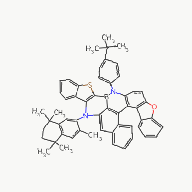 Cc1cc2c(cc1N1c3cc4ccccc4c4c3B(c3sc5ccccc5c31)N(c1ccc(C(C)(C)C)cc1)c1ccc3oc5ccccc5c3c1-4)C(C)(C)CCC2(C)C